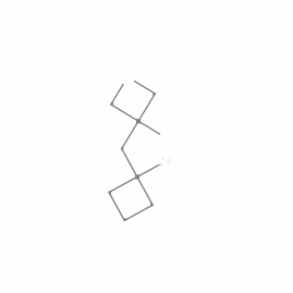 CC1(CC2(N)CCC2)COC1